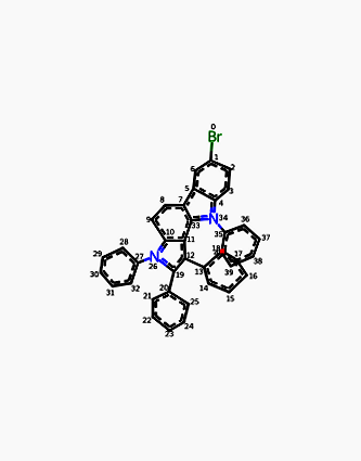 Brc1ccc2c(c1)c1ccc3c(c(-c4ccccc4)c(-c4ccccc4)n3-c3ccccc3)c1n2-c1ccccc1